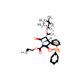 C=CCOC(=O)C1=C(OP(=O)(c2ccccc2)c2ccccc2)[C@H](C)[C@@H]2[C@@H](C(C)O[Si](C)(C)C(C)(C)C)C(=O)N12